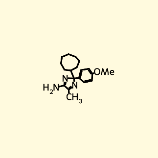 COc1ccc(C2(C3CCCCCCC3)N=C(C)C(N)=N2)cc1